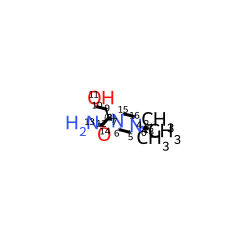 CC(C)(C)N1CCN([C@H](CCO)C(N)=O)CC1